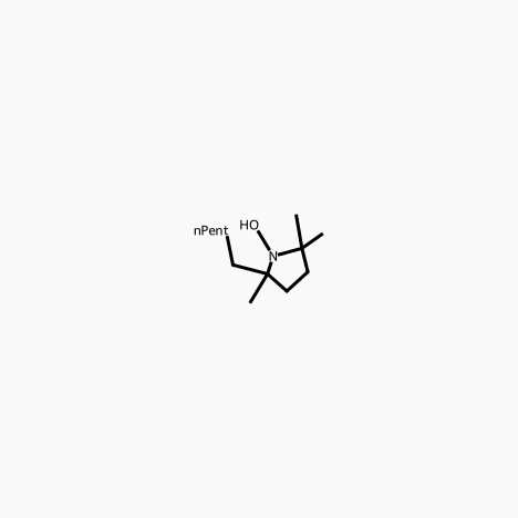 CCCCCCC1(C)CCC(C)(C)N1O